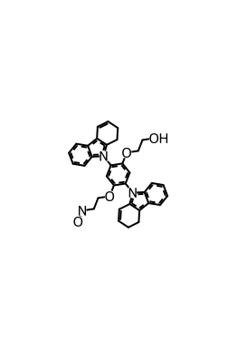 O=NCCOc1cc(-n2c3c(c4ccccc42)C=CCC3)c(OCCO)cc1-n1c2c(c3ccccc31)CCC=C2